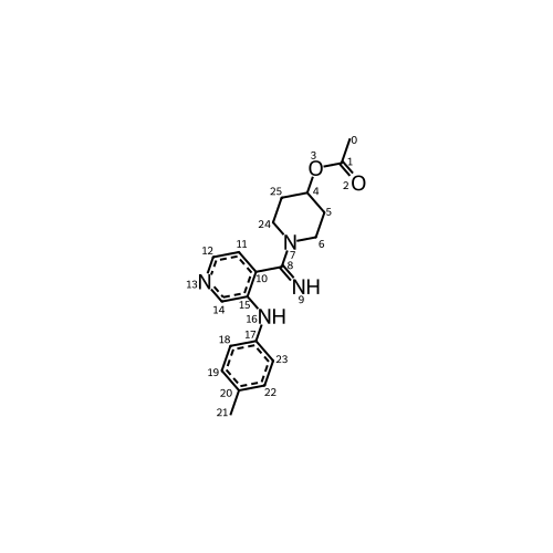 CC(=O)OC1CCN(C(=N)c2ccncc2Nc2ccc(C)cc2)CC1